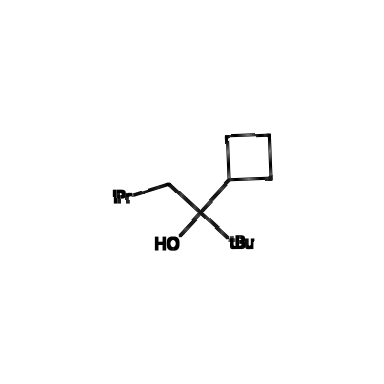 CC(C)CC(O)(C1CCC1)C(C)(C)C